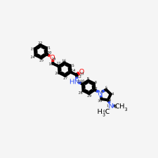 CN(C)C1CCN(c2ccc(NC(=O)c3ccc(COc4ccccc4)cc3)cc2)C1